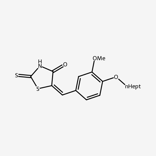 CCCCCCCOc1ccc(C=C2SC(=S)NC2=O)cc1OC